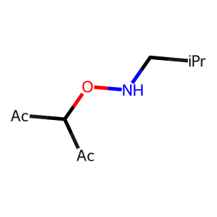 CC(=O)C(ONCC(C)C)C(C)=O